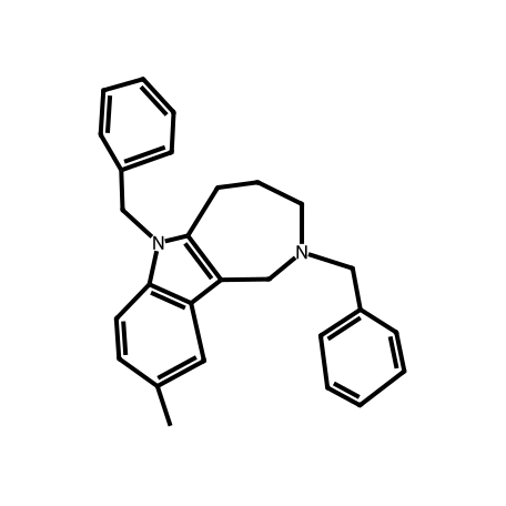 Cc1ccc2c(c1)c1c(n2Cc2ccccc2)CCCN(Cc2ccccc2)C1